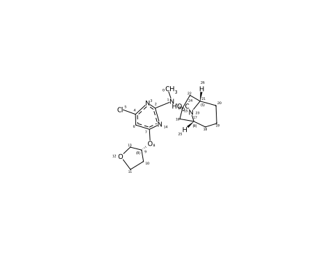 CN(c1nc(Cl)cc(O[C@@H]2CCOC2)n1)[C@H]1C[C@H]2CCC[C@@H](C1)N2C(=O)O